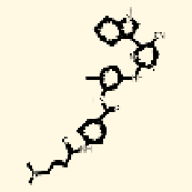 Cc1ccc(Nc2ncc(C#N)c(-c3c[nH]c4ccccc34)n2)cc1NC(=O)c1ccc(NC(=O)/C=C/CN(C)C)cc1